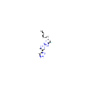 C=C(/C=C\C=C/C)[C@@H]1C[C@H](F)c2nc(-n3cc(-c4ccncn4)cn3)nn21